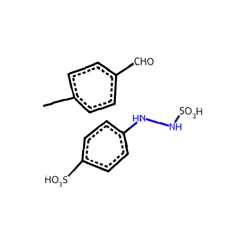 Cc1ccc(C=O)cc1.O=S(=O)(O)NNc1ccc(S(=O)(=O)O)cc1